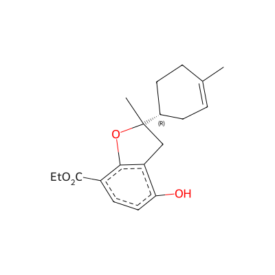 CCOC(=O)c1ccc(O)c2c1OC(C)([C@H]1CC=C(C)CC1)C2